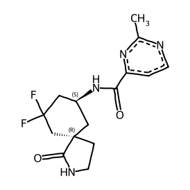 Cc1nccc(C(=O)N[C@@H]2CC(F)(F)C[C@@]3(CCNC3=O)C2)n1